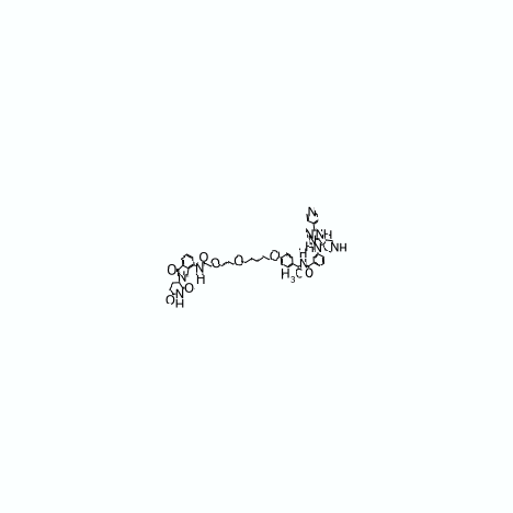 C[C@H](NC(=O)c1cccc(NC2(c3nnc(-c4ccncc4)[nH]3)CCNCC2)c1)c1ccc(OCCCCCOCCCOCC(=O)Nc2cccc3c2CN(C2CCC(=O)NC2=O)C3=O)cc1